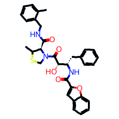 Cc1ccccc1CNC(=O)[C@@H]1C(C)SCN1C(=O)[C@@H](O)[C@H](Cc1ccccc1)NC(=O)c1cc2ccccc2o1